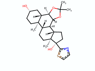 CC1(C)O[C@H]2[C@H](O1)[C@H]1C[C@@H](O)CC[C@]1(C)[C@H]1CC[C@@]3(C)[C@@H](CC[C@@]3(O)c3nccs3)[C@H]21